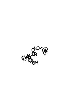 C[C@@H](COCC[C@H](C)OS(C)(=O)=O)Oc1cncc(-c2nn(C3CCCCO3)c3ccc(O)cc23)c1